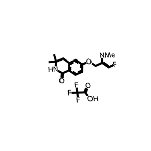 CN/C(=C\F)COc1ccc2c(c1)CC(C)(C)NC2=O.O=C(O)C(F)(F)F